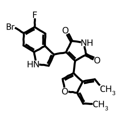 C/C=c1/c(C2=C(c3c[nH]c4cc(Br)c(F)cc34)C(=O)NC2=O)co/c1=C/C